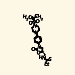 CCC(=S)NC[C@H]1CN(c2ccc(N3CCN(S(=O)(=O)N(C)C)CC3)cc2)C(=O)O1